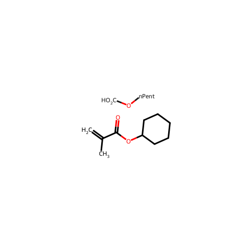 C=C(C)C(=O)OC1CCCCC1.CCCCCOC(=O)O